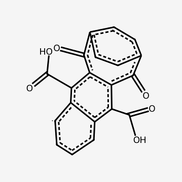 O=C(O)c1c2[c]cccc2c(C(=O)O)c2c(=O)c3ccc(cc3)c(=O)c12